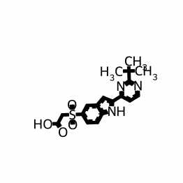 CC(C)(C)c1nccc(-c2cc3cc(S(=O)(=O)CC(=O)O)ccc3[nH]2)n1